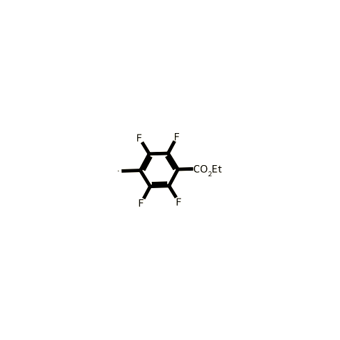 [CH2]c1c(F)c(F)c(C(=O)OCC)c(F)c1F